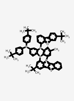 Cc1cc2c3c(c1)-n1c4c(cc(C(C)(C)C)cc4c4sc5ccccc5c41)B3c1ccc(N(c3ccc(C(C)(C)C)cc3)c3ccc(C(C)(C)C)cc3)cc1N2c1cccc2c1oc1cc(C(C)(C)C)ccc12